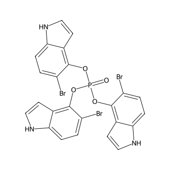 O=P(Oc1c(Br)ccc2[nH]ccc12)(Oc1c(Br)ccc2[nH]ccc12)Oc1c(Br)ccc2[nH]ccc12